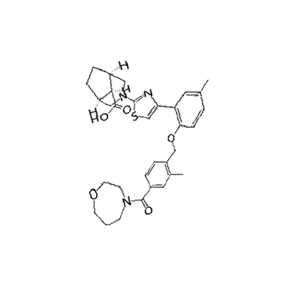 Cc1ccc(OCc2ccc(C(=O)N3CCCOCC3)cc2C)c(-c2csc(N3C[C@H]4CC[C@@H](C3)[C@H]4C(=O)O)n2)c1